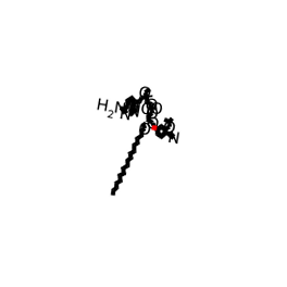 CCCCCCCCCCCCCCCCCCOC[C@H](COP(=O)(O)OC[C@](C)(CCc1ccc2c(N)ncnn12)OC)OCc1ccc(C#N)c(OC(C)C)c1